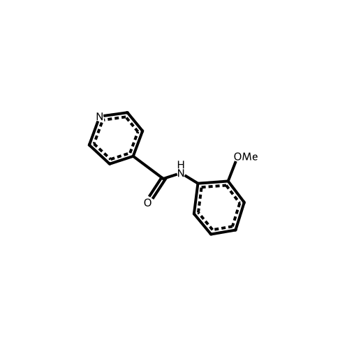 COc1ccccc1NC(=O)c1ccncc1